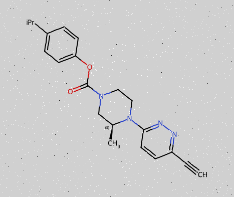 C#Cc1ccc(N2CCN(C(=O)Oc3ccc(C(C)C)cc3)C[C@@H]2C)nn1